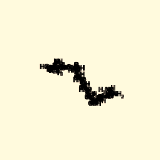 Cc1ccc(O)cc1[C@@H](CCN)C(=O)NNC(=O)OCCSSC[C@@H](NC(=O)CNC(=O)CNC(=O)CNC(=O)CNC(=O)CNC(=O)CC[C@@H](NC(=O)c1ccc(NCc2cnc(NN)c(C(N)=O)n2)cc1)C(=O)O)C(=O)O